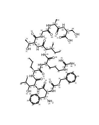 CCC[C@H](NC(=O)[C@@H](NC(=O)[C@@H](NC(=O)OCc1ccccc1)[C@H](N)c1ccccc1)C(O)C(C)C)C(=O)N[C@H](CCCNC(=N)N)C(=O)N[C@H](C(=O)N[C@H](C(=O)NCC(=O)N[C@@H](C)C(=O)N[C@@H](CO)C(=O)O)[C@H](C)O)[C@@H](C)CC